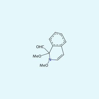 CON1C=Cc2ccccc2C1(C=O)OC